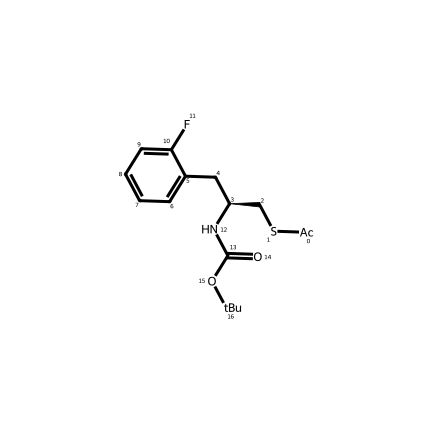 CC(=O)SC[C@H](Cc1ccccc1F)NC(=O)OC(C)(C)C